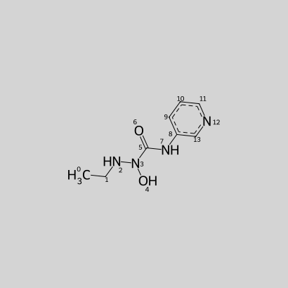 CCNN(O)C(=O)Nc1cccnc1